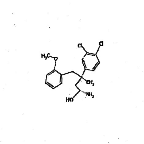 COc1ccccc1CC(C)(C[C@H](N)O)c1ccc(Cl)c(Cl)c1